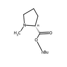 CCCCOC(=O)[C@H]1CCCN1C